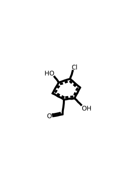 O=Cc1cc(O)c(Cl)cc1O